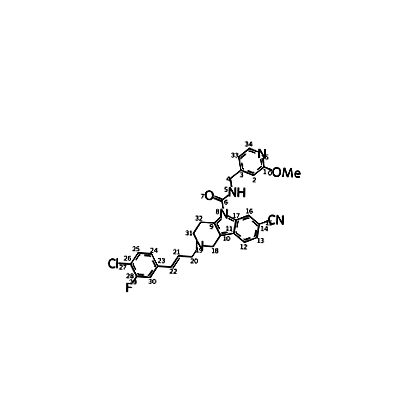 COc1cc(CNC(=O)n2c3c(c4ccc(C#N)cc42)CN(C/C=C/c2ccc(Cl)c(F)c2)CC3)ccn1